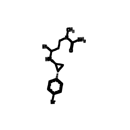 CCC(CCN(C)C(N)=O)N[C@H]1C[C@@H]1c1ccc(Br)cc1